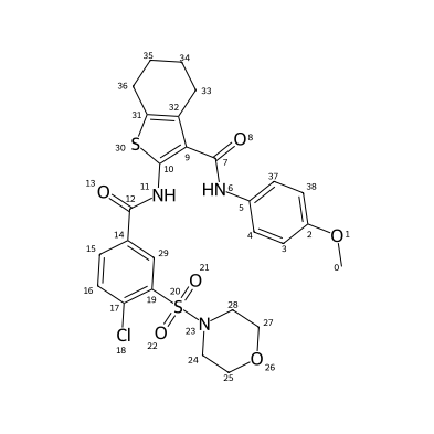 COc1ccc(NC(=O)c2c(NC(=O)c3ccc(Cl)c(S(=O)(=O)N4CCOCC4)c3)sc3c2CCCC3)cc1